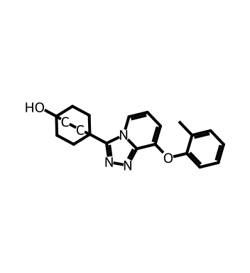 Cc1ccccc1Oc1cccn2c(C34CCC(O)(CC3)CC4)nnc12